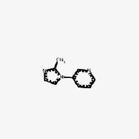 Cc1nccn1-c1cccnc1